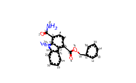 NC(=O)c1ccc(C(=O)OCc2ccccc2)c2c1[nH]c1ccccc12